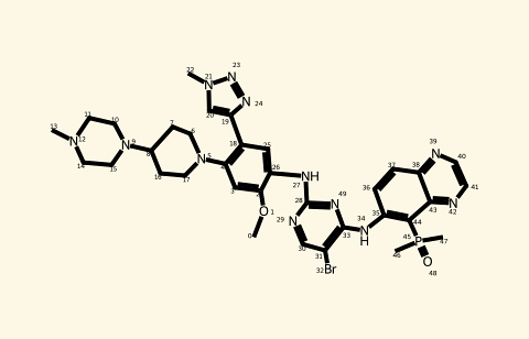 COc1cc(N2CCC(N3CCN(C)CC3)CC2)c(-c2cn(C)nn2)cc1Nc1ncc(Br)c(Nc2ccc3nccnc3c2P(C)(C)=O)n1